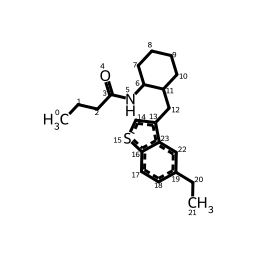 CCCC(=O)NC1CCCCC1Cc1csc2ccc(CC)cc12